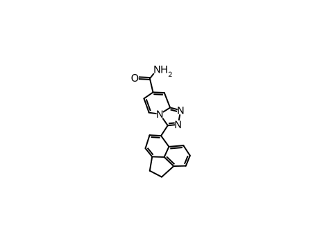 NC(=O)c1ccn2c(-c3ccc4c5c(cccc35)CC4)nnc2c1